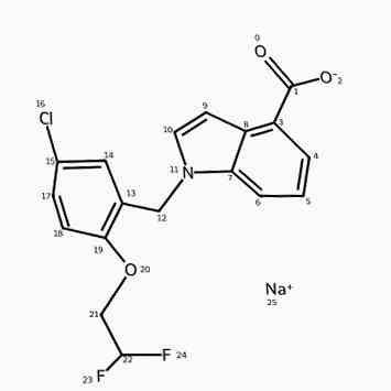 O=C([O-])c1cccc2c1ccn2Cc1cc(Cl)ccc1OCC(F)F.[Na+]